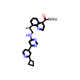 CNC(=O)c1ccnc2c([C@H](C)CNc3cc(-c4ccnc(C5CCC5)c4)ncn3)cccc12